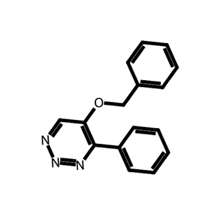 c1ccc(COc2cnnnc2-c2ccccc2)cc1